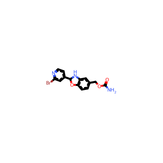 NC(=O)OCc1ccc2c(c1)NC(c1ccnc(Br)c1)O2